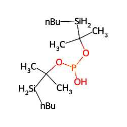 CCCC[SiH2]C(C)(C)OP(O)OC(C)(C)[SiH2]CCCC